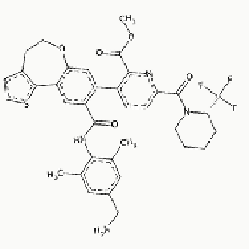 COC(=O)c1nc(C(=O)N2CCCC[C@H]2C(F)(F)F)ccc1-c1cc2c(cc1C(=O)Nc1c(C)cc(CN)cc1C)-c1sccc1CCO2